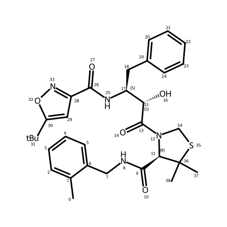 Cc1ccccc1CNC(=O)[C@H]1N(C(=O)[C@@H](O)[C@H](Cc2ccccc2)NC(=O)c2cc(C(C)(C)C)on2)CSC1(C)C